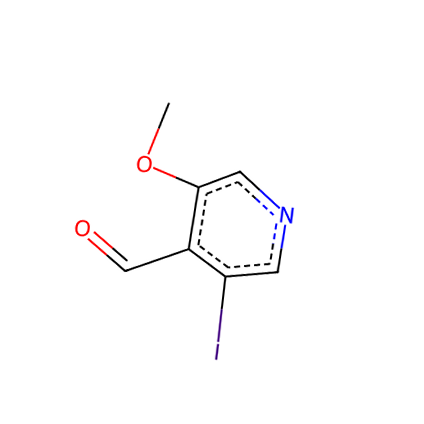 COc1cncc(I)c1C=O